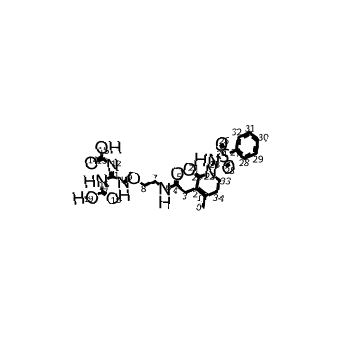 CC1=C(CC(=O)NCCONC(=NC(=O)O)NC(=O)O)C(=O)N(NS(=O)(=O)c2ccccc2)CC1